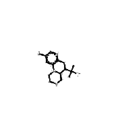 CC(C)(O)C1Cc2ncc(Cl)cc2N2CCOCC12